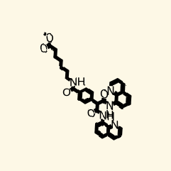 COC(=O)CCCCCCNC(=O)c1ccc(C(C(=O)Nc2cccc3cccnc23)C(=O)Nc2cccc3cccnc23)cc1